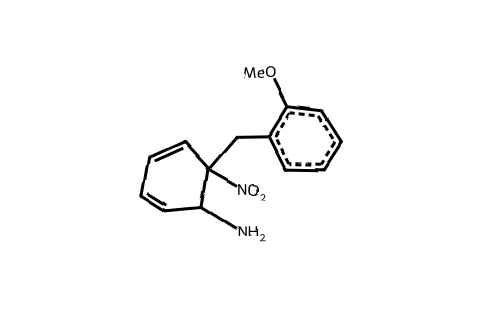 COc1ccccc1CC1([N+](=O)[O-])C=CC=CC1N